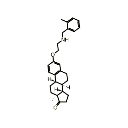 Cc1ccccc1CNCCOc1ccc2c(c1)CC[C@@H]1[C@@H]2CC[C@]2(C)C(=O)CC[C@@H]12